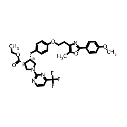 CCOC(=O)[C@H]1CN(c2nccc(C(F)(F)F)n2)C[C@H]1Cc1ccc(OCCc2nc(-c3ccc(OC)cc3)oc2C)cc1